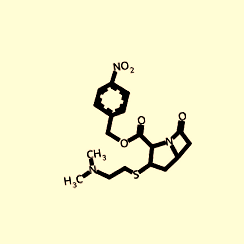 CN(C)CCSC1CC2CC(=O)N2C1C(=O)OCc1ccc([N+](=O)[O-])cc1